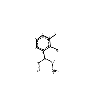 CCC(O[SiH3])c1cccc(C)c1C